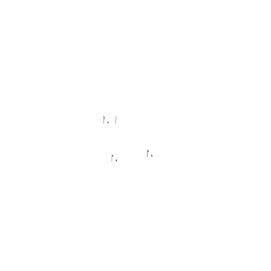 Cc1ccc(C(N)c2ccccc2)c(N2CCN(Cc3ccccc3)CC2)c1